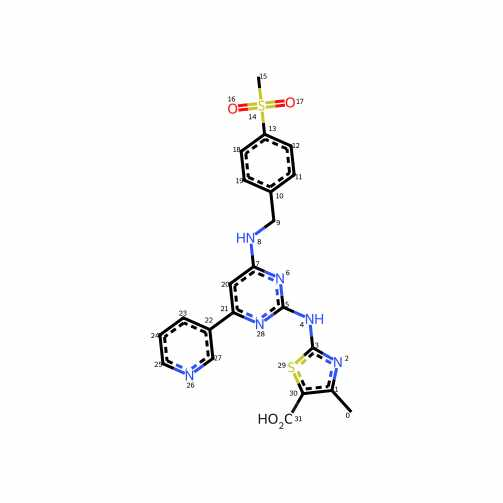 Cc1nc(Nc2nc(NCc3ccc(S(C)(=O)=O)cc3)cc(-c3cccnc3)n2)sc1C(=O)O